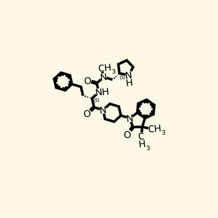 CN(C[C@@H]1CCCN1)C(=O)N[C@@H](CCc1ccccc1)C(=O)N1CCC(N2C(=O)C(C)(C)c3ccccc32)CC1